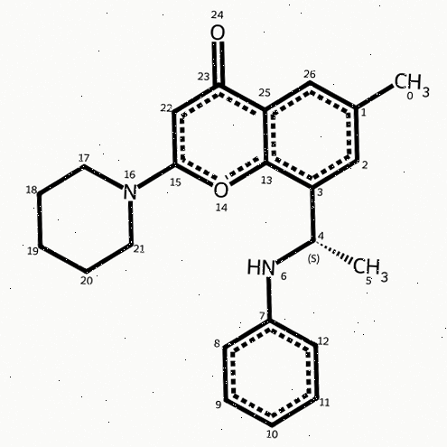 Cc1cc([C@H](C)Nc2ccccc2)c2oc(N3CCCCC3)cc(=O)c2c1